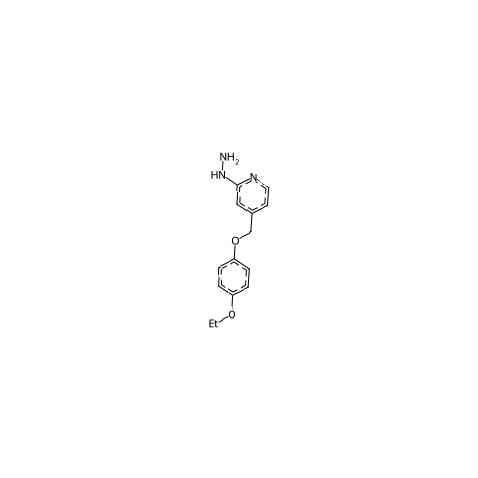 CCOc1ccc(OCc2ccnc(NN)c2)cc1